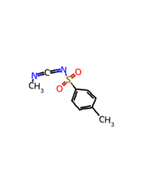 CN=C=NS(=O)(=O)c1ccc(C)cc1